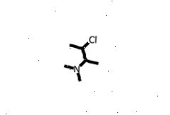 CC(Cl)C(C)N(C)C